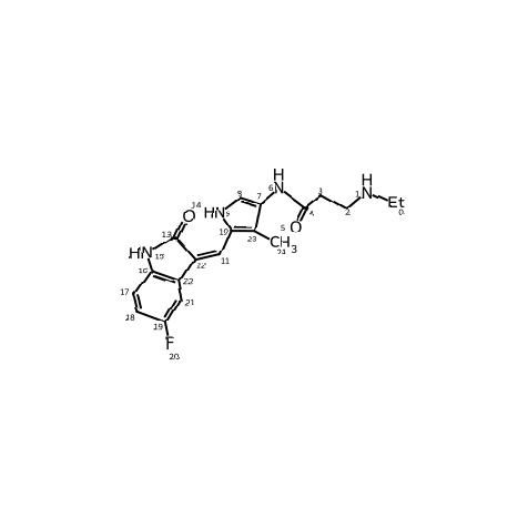 CCNCCC(=O)Nc1c[nH]c(/C=C2\C(=O)Nc3ccc(F)cc32)c1C